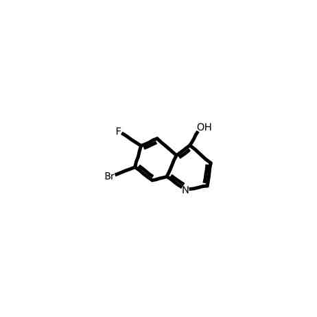 Oc1ccnc2cc(Br)c(F)cc12